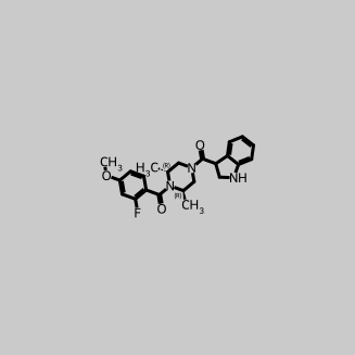 COc1ccc(C(=O)N2[C@H](C)CN(C(=O)C3CNc4ccccc43)C[C@H]2C)c(F)c1